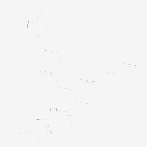 C=CCOc1ccc(C(=O)Nc2ncc(F)s2)c(Oc2ccc(-c3nnc(C)o3)cc2)c1